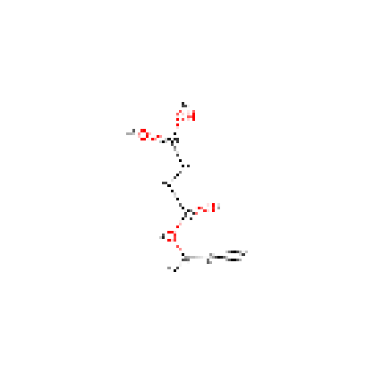 C#CC(C)OC(=O)CCC(=O)O